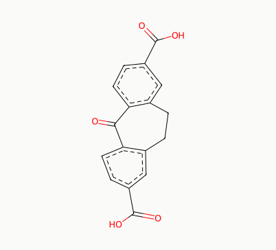 O=C(O)c1ccc2c(c1)CCc1cc(C(=O)O)ccc1C2=O